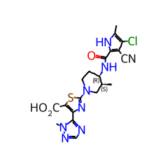 Cc1[nH]c(C(=O)N[C@@H]2CCN(c3nc(-c4ncnn4C)c(C(=O)O)s3)C[C@@H]2C)c(C#N)c1Cl